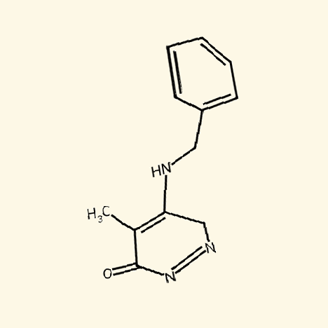 CC1=C(NCc2ccccc2)CN=NC1=O